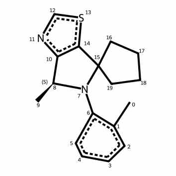 Cc1ccccc1N1[C@@H](C)c2ncsc2C12CCCC2